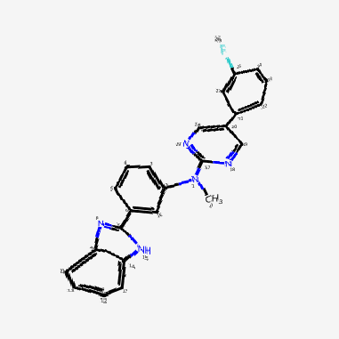 CN(c1cccc(-c2nc3ccccc3[nH]2)c1)c1ncc(-c2cccc(F)c2)cn1